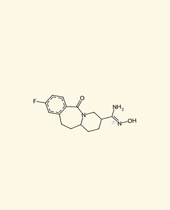 N/C(=N\O)C1CCC2CCc3cc(F)ccc3C(=O)N2C1